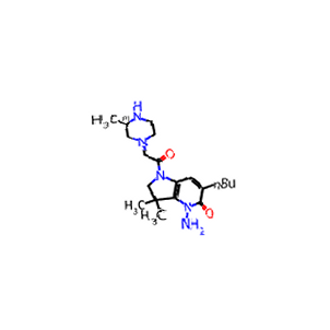 CCCCc1cc2c(n(N)c1=O)C(C)(C)CN2C(=O)CN1CCN[C@H](C)C1